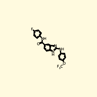 O=C(Nc1ccc(F)cc1)c1ccc2[nH]c(Nc3ccc(OC(F)(F)F)cc3)nc2c1